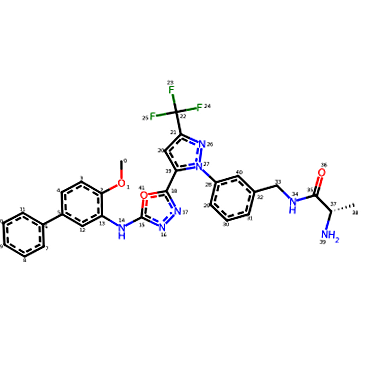 COc1ccc(-c2ccccc2)cc1Nc1nnc(-c2cc(C(F)(F)F)nn2-c2cccc(CNC(=O)[C@H](C)N)c2)o1